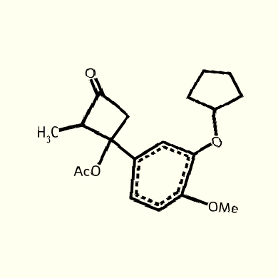 COc1ccc(C2(OC(C)=O)CC(=O)C2C)cc1OC1CCCC1